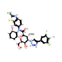 CO[C@@H]1[C@@H](n2cc(-c3cc(F)c(F)c(F)c3)nn2)[C@@H](O)[C@@H](CO)O[C@H]1C(=O)N(c1ccc2nc(Cl)sc2c1)[C@H]1CCCC[C@@H]1O